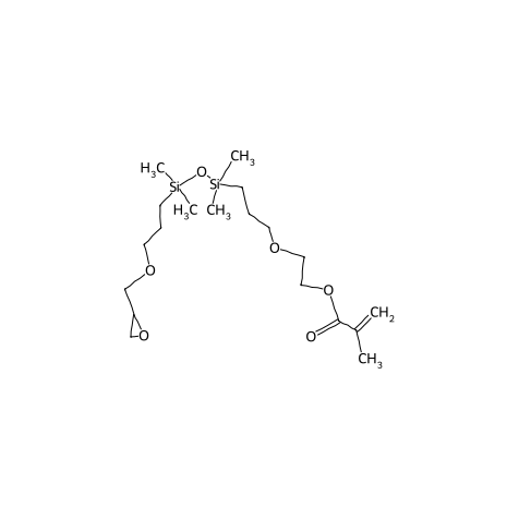 C=C(C)C(=O)OCCOCCC[Si](C)(C)O[Si](C)(C)CCCOCC1CO1